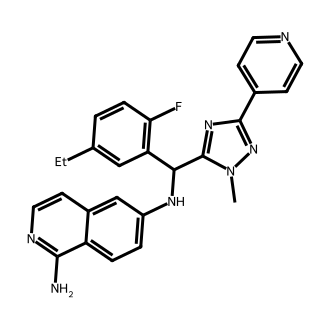 CCc1ccc(F)c(C(Nc2ccc3c(N)nccc3c2)c2nc(-c3ccncc3)nn2C)c1